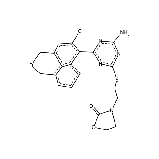 Nc1nc(SCCN2CCOC2=O)nc(-c2c(Cl)cc3c4c(cccc24)COC3)n1